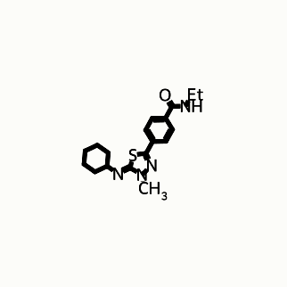 CCNC(=O)c1ccc(-c2nn(C)c(=NC3CCCCC3)s2)cc1